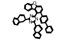 C1=CC(c2nc(-c3ccc4ccccc4c3)nc(-c3c(-c4ccc(-c5ccccc5)cc4)ccc4oc5ccccc5c34)n2)Cc2ccccc21